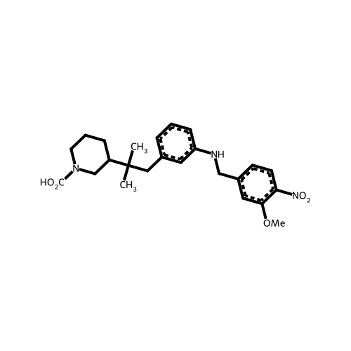 COc1cc(CNc2cccc(CC(C)(C)C3CCCN(C(=O)O)C3)c2)ccc1[N+](=O)[O-]